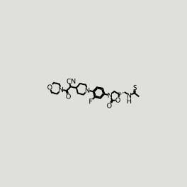 CC(=S)NC[C@H]1CN(c2ccc(N3CCC(C(C#N)C(=O)N4CCOCC4)CC3)c(F)c2)C(=O)O1